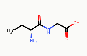 CC[C@H](N)C(=O)NCC(=O)O